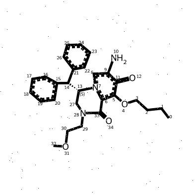 CCCCOc1c2n(cc(N)c1=O)[C@@H](C(c1ccccc1)c1ccccc1)CN(CCOC)C2=O